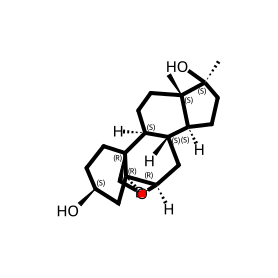 C[C@]1(O)CC[C@H]2[C@@H]3C[C@H]4OC[C@@]5(CC[C@H](O)C[C@]45Br)[C@H]3CC[C@@]21C